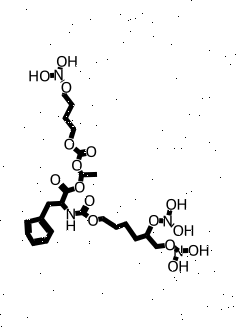 CC(OC(=O)OCCCCON(O)O)OC(=O)C(Cc1ccccc1)NC(=O)OCCCCC(CON(O)O)ON(O)O